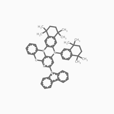 CC1(C)CCC(C)(C)c2cc(N3c4cc5c(cc4B4c6ccccc6Oc6nc(-n7c8ccccc8c8ccccc87)cc3c64)C(C)(C)CCC5(C)C)ccc21